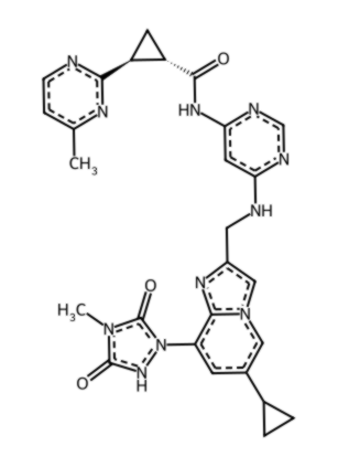 Cc1ccnc([C@H]2C[C@@H]2C(=O)Nc2cc(NCc3cn4cc(C5CC5)cc(-n5[nH]c(=O)n(C)c5=O)c4n3)ncn2)n1